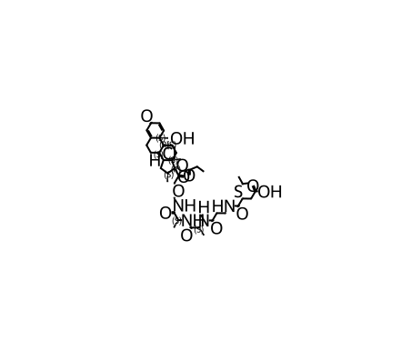 CCC(=O)O[C@]1(C(=O)COCNC(=O)[C@H](C)NC(=O)[C@H](C)NC(=O)CCNC(=O)C(CC(=O)O)SC(C)C)[C@@H](C)CC2[C@@H]3CCC4=CC(=O)C=C[C@]4(C)[C@@]3(Cl)[C@@H](O)C[C@@]21C